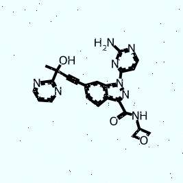 CC(O)(C#Cc1ccc2c(C(=O)NC3COC3)nn(-c3ccnc(N)n3)c2c1)c1ncccn1